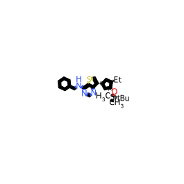 CC[C@@H]1C[C@@H](c2csc3c(NCC4CCCCC4)ncnc23)C[C@@H]1O[Si](C)(C)C(C)(C)C